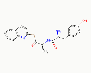 C[C@H](NC(=O)[C@@H](N)Cc1ccc(O)cc1)C(=O)Sc1ccc2ccccc2n1